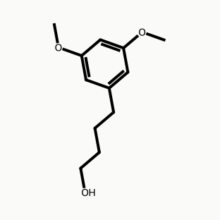 COc1cc(CCCCO)cc(OC)c1